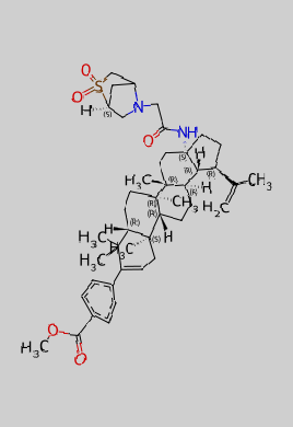 C=C(C)[C@@H]1CC[C@]2(NC(=O)CN3C[C@@H]4CC3CS4(=O)=O)CC[C@]3(C)[C@H](CC[C@@H]4[C@@]5(C)CC=C(c6ccc(C(=O)OC)cc6)C(C)(C)[C@@H]5CC[C@]43C)[C@@H]12